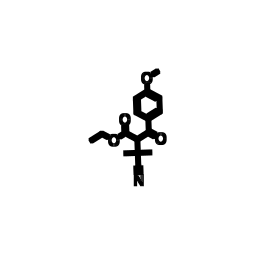 CCOC(=O)C(C(=O)c1ccc(OC)cc1)C(C)(C)C#N